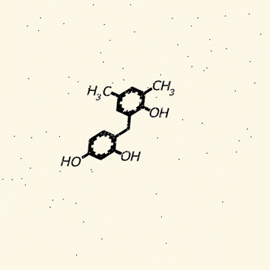 Cc1cc(C)c(O)c(Cc2ccc(O)cc2O)c1